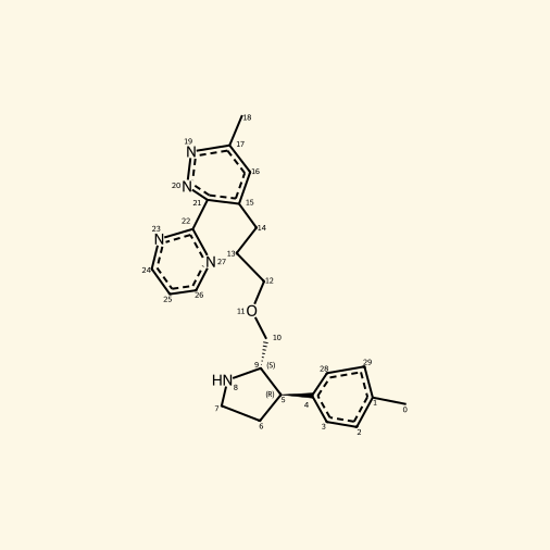 Cc1ccc([C@H]2CCN[C@@H]2COCCCc2cc(C)nnc2-c2ncccn2)cc1